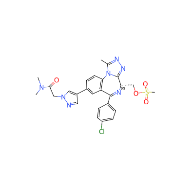 Cc1nnc2n1-c1ccc(-c3cnn(CC(=O)N(C)C)c3)cc1C(c1ccc(Cl)cc1)=N[C@H]2COS(C)(=O)=O